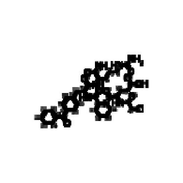 NC(=O)NCCCC(NC(=O)C(Cc1ccc(C(=O)c2ccccc2)cc1)NC(=O)[C@@H]1CCCCN1C(=O)C(CCC(=O)O)NC(=O)CCl)C(N)=O